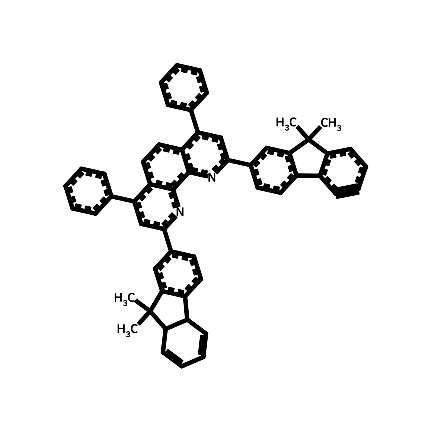 CC1(C)c2ccc#cc2-c2ccc(-c3cc(-c4ccccc4)c4ccc5c(-c6ccccc6)cc(-c6ccc7c(c6)C(C)(C)C6C=CC=CC76)nc5c4n3)cc21